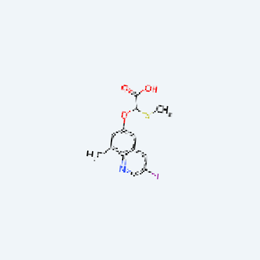 CSC(Oc1cc(C)c2ncc(I)cc2c1)C(=O)O